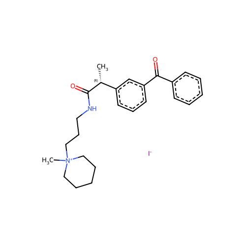 C[C@@H](C(=O)NCCC[N+]1(C)CCCCC1)c1cccc(C(=O)c2ccccc2)c1.[I-]